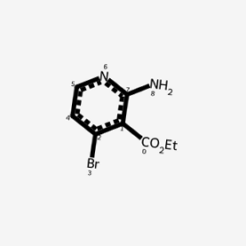 CCOC(=O)c1c(Br)ccnc1N